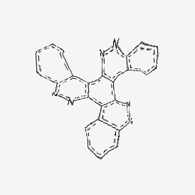 c1ccc2c(c1)nnc1c2c2nnc3ccccc3c2c2nnc3ccccc3c12